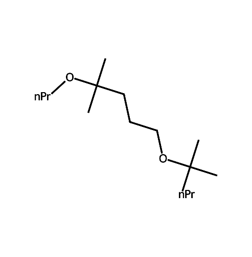 CCCOC(C)(C)CCCOC(C)(C)CCC